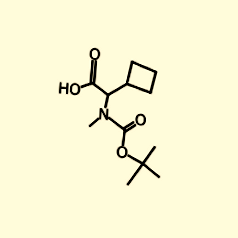 CN(C(=O)OC(C)(C)C)C(C(=O)O)C1CCC1